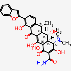 C[C@H]1c2ccc(-c3cc4ccccc4o3)c(O)c2C(=O)C2=C(O)[C@]3(O)C(=O)C(C(N)=O)=C(O)[C@@H](N(C)C)[C@@H]3[C@@H](O)[C@@H]21